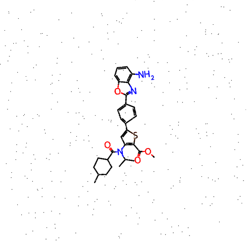 COC(=O)c1sc(-c2ccc(-c3nc4c(N)cccc4o3)cc2)cc1N(C(=O)C1CCC(C)CC1)C(C)C